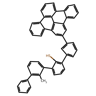 Cc1c(-c2ccccc2)cccc1-c1cccc(-c2cccc(-c3cc4c5ccccc5c5cccc6c7ccccc7c(c3)c4c56)c2)c1S